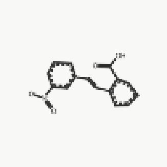 O=C(O)c1ccccc1C=Cc1cccc([N+](=O)[O-])c1